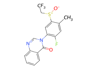 Cc1cc(F)c(-n2cnc3ccccc3c2=O)cc1[S+]([O-])CC(F)(F)F